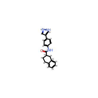 O=C(Nc1ccc(-c2cn[nH]c2)cc1)C1CCc2ccccc2C1